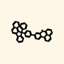 c1ccc(C2(c3ccc(-c4ccc5c(c4)Sc4cccc6cccc-5c46)cc3)c3ccccc3-c3ccc4ccccc4c32)cc1